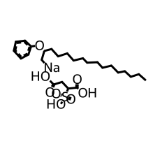 CCCCCCCCCCCCCCC([CH2][Na])Oc1ccccc1.O=C(O)CC(C(=O)O)S(=O)(=O)O